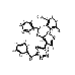 Clc1ccc(Cl)c(-n2ncc(-c3nnn(Cc4ccccc4)n3)c2SCc2ccccc2)c1